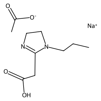 CC(=O)[O-].CCCN1CCN=C1CC(=O)O.[Na+]